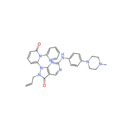 C=CCn1c(=O)c2cnc(Nc3ccc(N4CCN(C)CC4)cc3)nc2n1-c1cccc(=O)n1-c1ccccn1